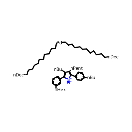 CCCCCCCCCCCCCCCCCCCCC[CH2][Pd][CH2]CCCCCCCCCCCCCCCCCCCCC.CCCCCCc1cccc(C2=C(CCCC)C(CCCCC)=C(c3ccc(CCCC)cc3)[N+]2=[N-])c1